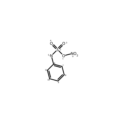 O=[N+]([O-])OS(=O)(=O)[N]c1ccccc1